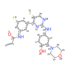 C=CC(=O)Nc1cc(F)cc(-c2nc(Nc3ccc(O)c(N4CCOCC4)c3)ncc2F)c1